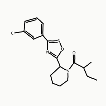 CCC(C)C(=O)N1CCCCC1c1nc(-c2cccc(Cl)c2)no1